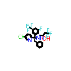 OC(CN[C@@](Cc1ccccc1)(c1cc(F)cc(C(F)(F)F)c1)c1ccc(Cl)cn1)CC(F)(F)F